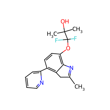 CC1=Nc2c(OC(F)(F)C(C)(C)O)ccc(-c3ccccn3)c2C1